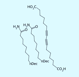 CCCCCCCCCCCCCCCCCC(N)=O.CCCCCCCCCCCCCCCCCC(N)=O.O=C(O)CCCCCC#CC#CCCCCCC(=O)O